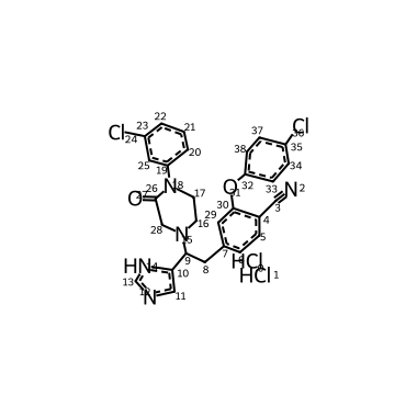 Cl.Cl.N#Cc1ccc(CC(c2cnc[nH]2)N2CCN(c3cccc(Cl)c3)C(=O)C2)cc1Oc1ccc(Cl)cc1